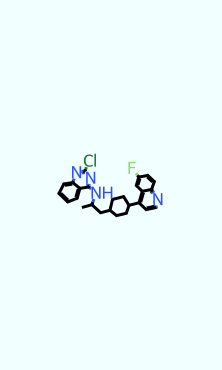 CC(CC1CCC(c2ccnc3ccc(F)cc23)CC1)Nc1nc(Cl)nc2ccccc12